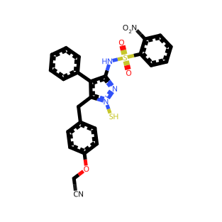 N#CCOc1ccc(Cc2c(-c3ccccc3)c(NS(=O)(=O)c3ccccc3[N+](=O)[O-])nn2S)cc1